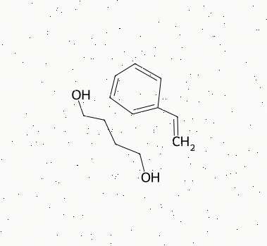 C=Cc1ccccc1.OCCCCO